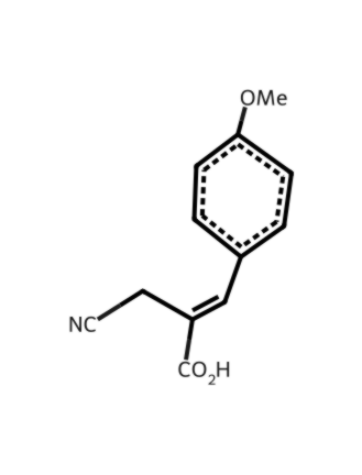 COc1ccc(C=C(CC#N)C(=O)O)cc1